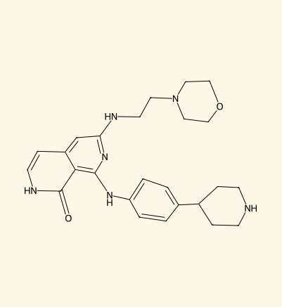 O=c1[nH]ccc2cc(NCCN3CCOCC3)nc(Nc3ccc(C4CCNCC4)cc3)c12